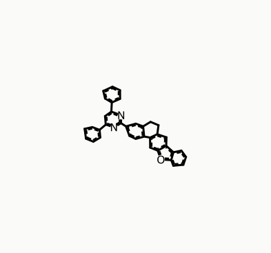 c1ccc(-c2cc(-c3ccccc3)nc(-c3ccc4c(c3)CCc3cc5c(cc3-4)oc3ccccc35)n2)cc1